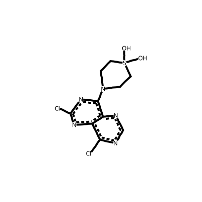 OS1(O)CCN(c2nc(Cl)nc3c(Cl)ncnc23)CC1